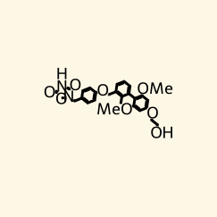 COc1cc(OCCO)cc(OC)c1-c1cccc(COc2ccc(Cn3oc(=O)[nH]c3=O)cc2)c1C